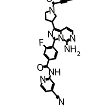 CC#CC(=O)N1CCC(c2nc(-c3ccc(C(=O)Nc4cc(C#N)ccn4)cc3F)n3c(N)nccc23)C1